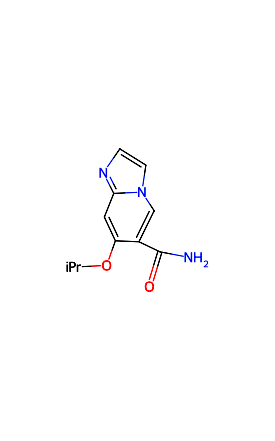 CC(C)Oc1cc2nccn2cc1C(N)=O